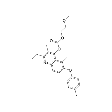 CCc1nc2ccc(Oc3ccc(C)cc3)c(C)c2c(OC(=O)OCCOC)c1C